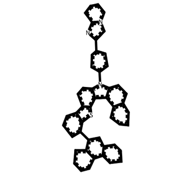 c1ccc2c(c1)cc(-c1cccc3c1sc1c3ccc3c1c1c4ccccc4ccc1n3-c1ccc(-c3cn4ccccc4n3)cc1)c1ccccc12